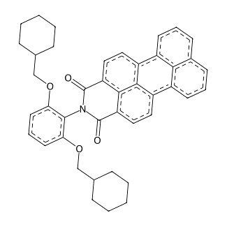 O=C1c2ccc3c4cccc5cccc(c6ccc(c2c36)C(=O)N1c1c(OCC2CCCCC2)cccc1OCC1CCCCC1)c54